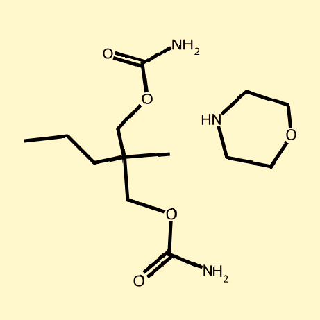 C1COCCN1.CCCC(C)(COC(N)=O)COC(N)=O